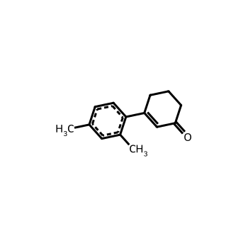 Cc1ccc(C2=CC(=O)CCC2)c(C)c1